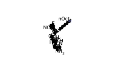 CCCCCCCC/C=C\CCCCCCCCOC[C@H](COP(=O)(O)OC1[C@H]2O[C@@](C#N)(c3ccc4c(N)ncnn34)[C@H](O)[C@@]12O)OCc1cc(F)cc(C#N)c1